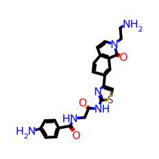 NCCn1ccc2ccc(-c3csc(NC(=O)CNC(=O)c4ccc(N)cc4)n3)cc2c1=O